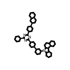 c1ccc(-c2nc(-c3ccc(-c4cccc(-n5c6ccccc6c6c7ccccc7ccc65)c4)cc3)nc(-c3ccc(-c4ccc5ccccc5c4)cc3)n2)cc1